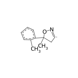 Cc1ccccc1C1(C)C[C]=NO1